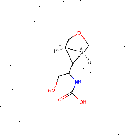 O=C(O)NC(CO)C1[C@H]2COC[C@@H]12